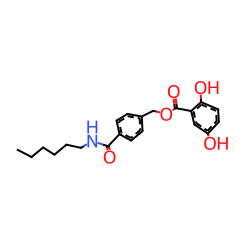 CCCCCCNC(=O)c1ccc(COC(=O)c2cc(O)ccc2O)cc1